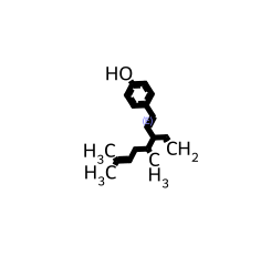 C=CC(/C=C/c1ccc(O)cc1)C(C)CC=C(C)C